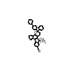 CC1(C)c2cc(C#N)ccc2-c2c1c1c(c3ccccc23)OC(c2ccccc2)(c2ccc(-c3ccccc3)cc2)C=C1